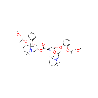 COCC(C)Oc1ccccc1OCC(CN1C(C)(C)CCCC1(C)C)OC(=O)/C=C/C(=O)OC(COc1ccccc1OC(C)COC)CN1C(C)(C)CCCC1(C)C